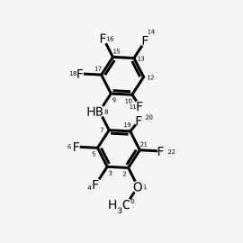 COc1c(F)c(F)c(Bc2c(F)cc(F)c(F)c2F)c(F)c1F